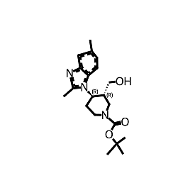 Cc1ccc2c(c1)nc(C)n2[C@@H]1CCN(C(=O)OC(C)(C)C)C[C@H]1CO